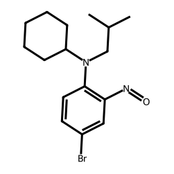 CC(C)CN(c1ccc(Br)cc1N=O)C1CCCCC1